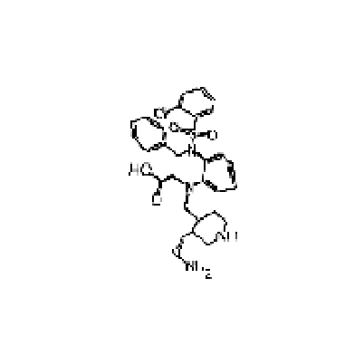 N/N=C\C1CNCCC1CN(CC(=O)O)c1ccccc1N(Cc1ccccc1)S(=O)(=O)c1ccccc1Cl